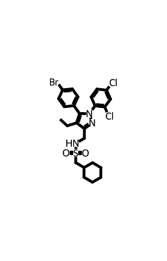 CCc1c(CNS(=O)(=O)CC2CCCCC2)nn(-c2ccc(Cl)cc2Cl)c1-c1ccc(Br)cc1